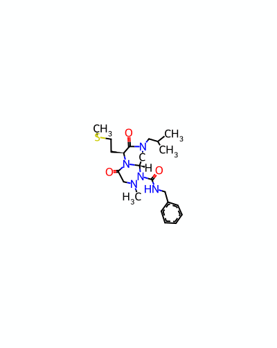 CSCC[C@H]1C(=O)N(CC(C)C)C[C@H]2N1C(=O)CN(C)N2C(=O)NCc1ccccc1